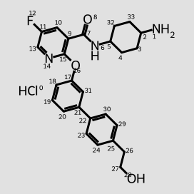 Cl.NC1CCC(NC(=O)c2cc(F)cnc2Oc2cccc(-c3ccc(CCO)cc3)c2)CC1